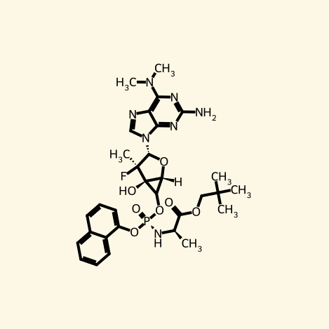 C[C@@H](N[P@@](=O)(Oc1cccc2ccccc12)OC1[C@H]2O[C@@H](n3cnc4c(N(C)C)nc(N)nc43)[C@](C)(F)[C@@]12O)C(=O)OCC(C)(C)C